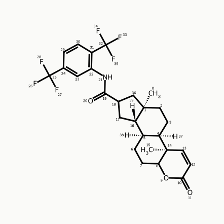 C[C@]12CC[C@@H]3[C@@H](CCC4OC(=O)C=C[C@@]43C)[C@@H]1CC(C(=O)Nc1cc(C(F)(F)F)ccc1C(F)(F)F)C2